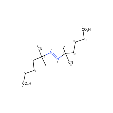 CC(C#N)(CCCC(=O)O)N=NC(C)(C#N)CCCC(=O)O